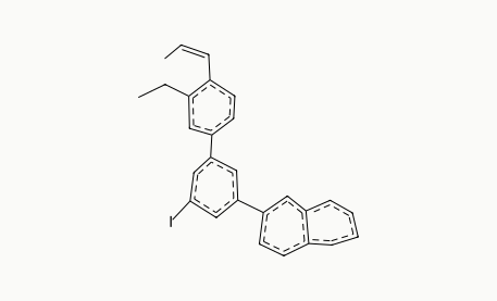 C/C=C\c1ccc(-c2cc(I)cc(-c3ccc4ccccc4c3)c2)cc1CC